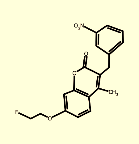 Cc1c(Cc2cccc([N+](=O)[O-])c2)c(=O)oc2cc(OCCF)ccc12